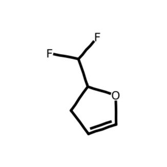 FC(F)[C]1CC=CO1